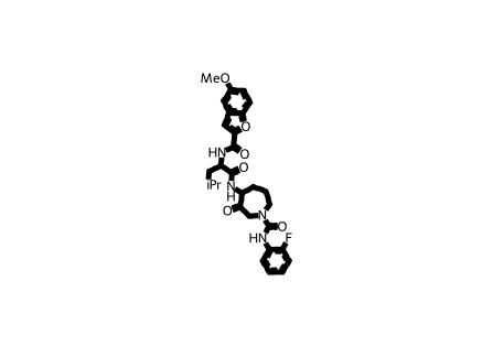 COc1ccc2oc(C(=O)NC(CC(C)C)C(=O)NC3CCCN(C(=O)Nc4ccccc4F)CC3=O)cc2c1